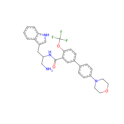 NCC(Cc1c[nH]c2ccccc12)NC(=O)c1cc(-c2ccc(N3CCOCC3)cc2)ccc1OC(F)(F)F